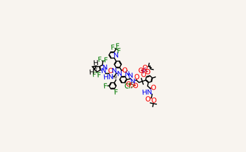 Cc1cc(CC(=O)NCC(=O)OC(C)(C)C)c(C(C)(C)CC(=O)N(c2nn(C)c3c(-n4c([C@H](Cc5cc(F)cc(F)c5)NC(=O)Cn5nc(C(F)F)c6c5C(F)(F)[C@@H]5C[C@H]65)nc5cc(-c6cccc(C(F)(F)F)n6)ccc5c4=O)ccc(Cl)c23)S(C)(=O)=O)c(OP(=O)(OC(C)C)OC(C)C)c1